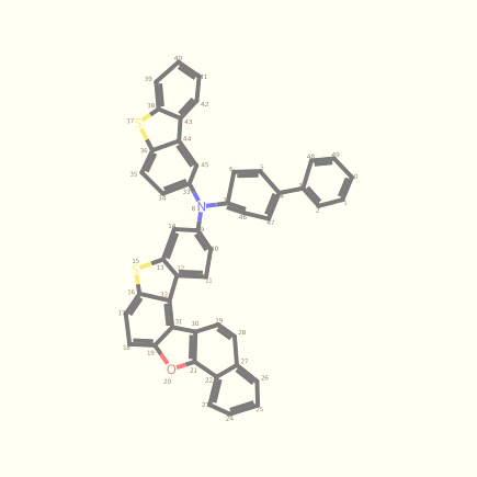 c1ccc(-c2ccc(N(c3ccc4c(c3)sc3ccc5oc6c7ccccc7ccc6c5c34)c3ccc4sc5ccccc5c4c3)cc2)cc1